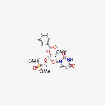 CO[C@@H]1[C@H](OC(=O)c2ccccc2)[C@@H](OCP(=O)(OC)OC)O[C@H]1n1ccc(=O)[nH]c1=O